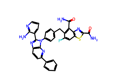 NC(=O)c1nc2c(C(N)=O)c(Cc3ccc(-n4c(-c5cccnc5N)nc5ccc(-c6ccccc6)nc54)cc3)c(F)cc2s1